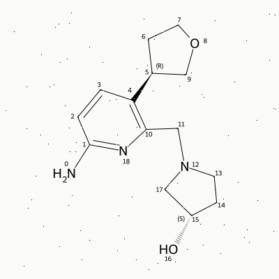 Nc1ccc([C@H]2CCOC2)c(CN2CC[C@H](O)C2)n1